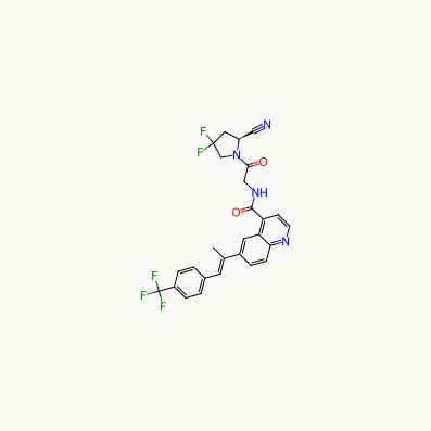 C/C(=C\c1ccc(C(F)(F)F)cc1)c1ccc2nccc(C(=O)NCC(=O)N3CC(F)(F)C[C@H]3C#N)c2c1